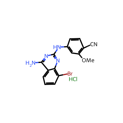 COc1cc(Nc2nc(N)c3cccc(Br)c3n2)ccc1C#N.Cl